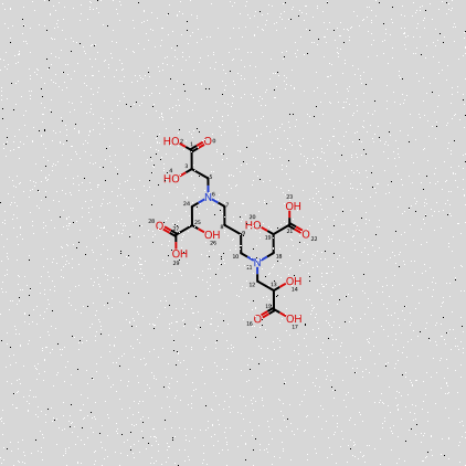 O=C(O)C(O)CN(CCCCN(CC(O)C(=O)O)CC(O)C(=O)O)CC(O)C(=O)O